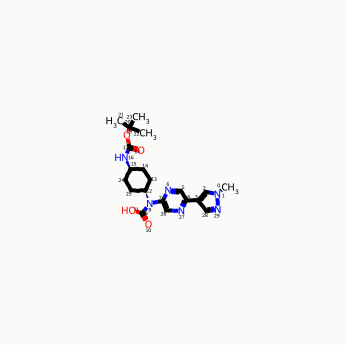 Cn1cc(-c2cnc(N(C(=O)O)[C@H]3CC[C@H](NC(=O)OC(C)(C)C)CC3)cn2)cn1